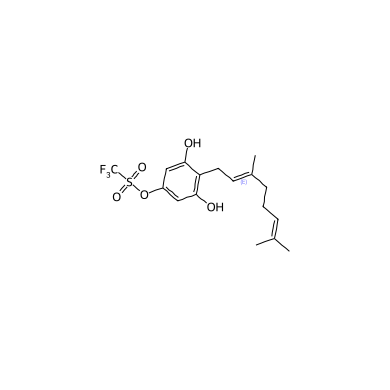 CC(C)=CCC/C(C)=C/Cc1c(O)cc(OS(=O)(=O)C(F)(F)F)cc1O